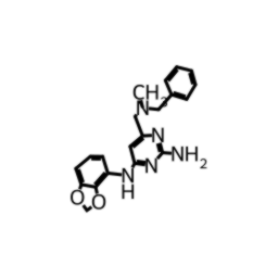 CN(Cc1ccccc1)Cc1cc(Nc2cccc3c2OCO3)nc(N)n1